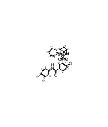 O=C(Nc1ccc(F)c(F)c1)c1ccc(Cl)c(S(=O)(=O)C2CC3CC(C2)C3(O)C(O)c2ncccn2)c1